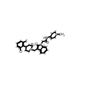 Cc1c(CN2CCC(c3c(F)cccc3Cl)CC2)c2ccccc2n1CC(=O)NC1CCN(C)CC1